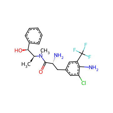 C[C@@H]([C@@H](O)c1ccccc1)N(C)C(=O)[C@H](N)Cc1cc(Cl)c(N)c(C(F)(F)F)c1